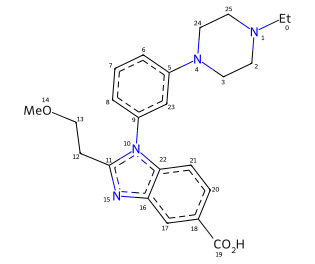 CCN1CCN(c2cccc(-n3c(CCOC)nc4cc(C(=O)O)ccc43)c2)CC1